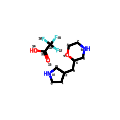 C1CC(CC2CNCCO2)CN1.O=C(O)C(F)(F)F